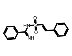 N=C(NS(=O)(=O)/C=C/c1ccccc1)c1ccccc1